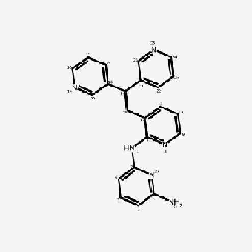 Nc1cccc(Nc2ncccc2CC(c2cccnc2)c2cccnc2)n1